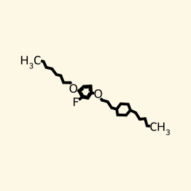 CCCCCCCCOc1ccc(OCCCC2CCC(CCCCC)CC2)cc1F